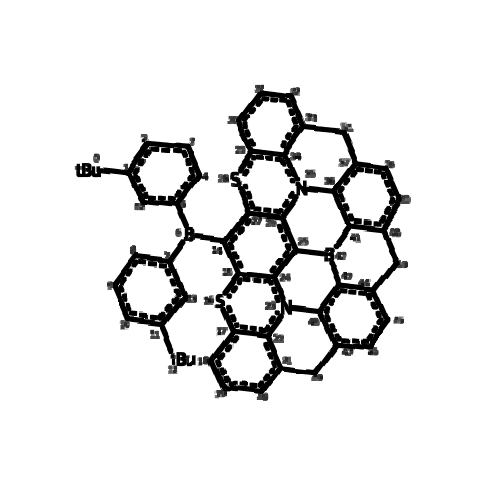 CC(C)(C)c1cccc(B(c2cccc(C(C)(C)C)c2)c2c3sc4cccc5c4n4c3c3c6c2sc2cccc7c2n6-c2c(ccc6c2B3c2c(ccc(c2-4)C5)C6)C7)c1